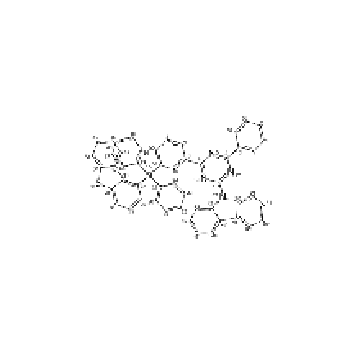 c1ccc(-c2nc(-c3cccc([Si](c4ccccc4)(c4ccccc4)c4cccc5sc6ccccc6c45)c3)nc(-n3c4ccccc4c4ccccc43)n2)cc1